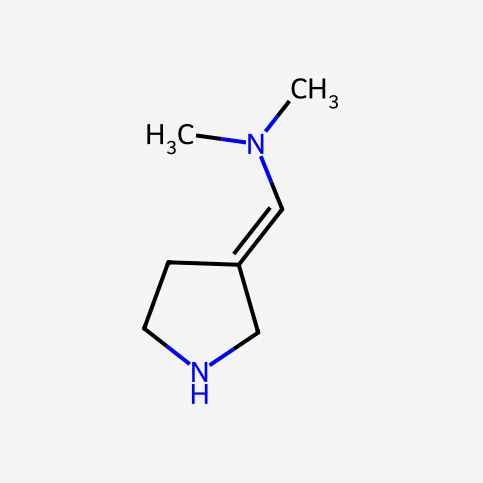 CN(C)/C=C1\CCNC1